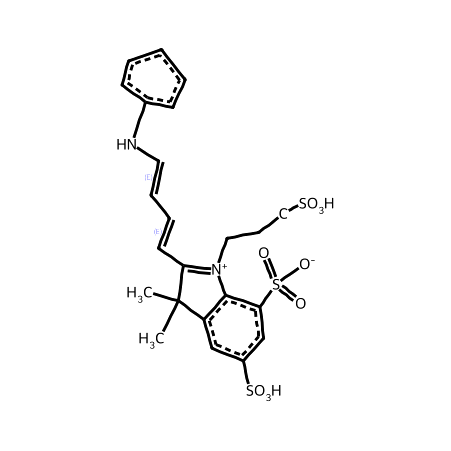 CC1(C)C(/C=C/C=C/Nc2ccccc2)=[N+](CCCS(=O)(=O)O)c2c1cc(S(=O)(=O)O)cc2S(=O)(=O)[O-]